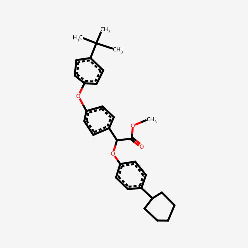 COC(=O)C(Oc1ccc(C2CCCCC2)cc1)c1ccc(Oc2ccc(C(C)(C)C)cc2)cc1